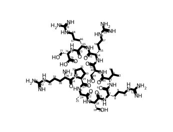 CC(C)[C@H](NC(=O)[C@H](CCCNC(=N)N)NC(=O)[C@H](CO)NC(=O)[C@H](C)NC(=O)[C@@H]1CCCN1C(=O)[C@@H](N)CCCNC(=N)N)C(=O)N[C@@H](CO)C(=O)N[C@@H](CCCNC(=N)N)C(=O)N[C@@H](CCCNC(=N)N)C(=O)N[C@@H](CO)C(=O)O